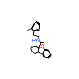 Cc1ccccc1CCNC(C)C12CCCCC1c1ccccc1O2